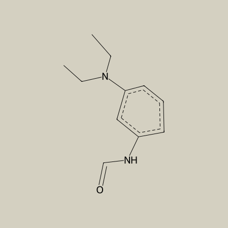 CCN(CC)c1cccc(NC=O)c1